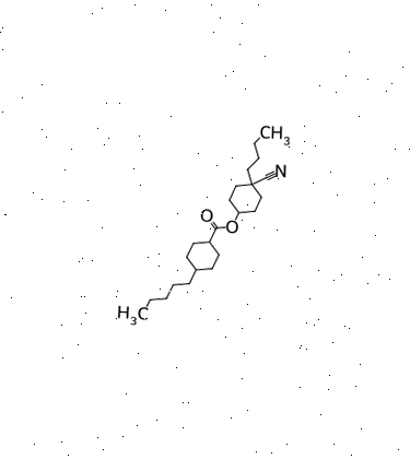 CCCCCC1CCC(C(=O)OC2CCC(C#N)(CCCC)CC2)CC1